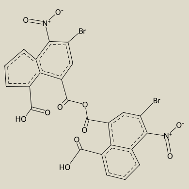 O=C(O)c1cccc2c([N+](=O)[O-])c(Br)cc(C(=O)OC(=O)c3cc(Br)c([N+](=O)[O-])c4cccc(C(=O)O)c34)c12